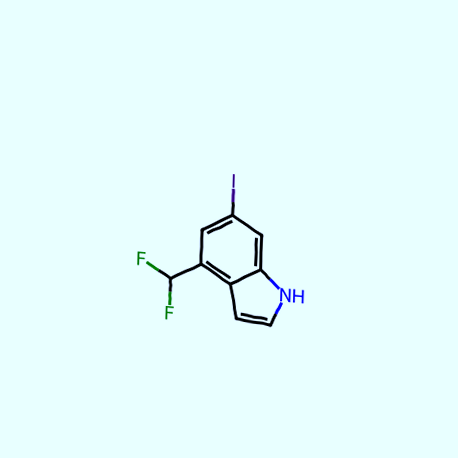 FC(F)c1cc(I)cc2[nH]ccc12